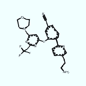 N#Cc1ccc(-c2ccc(CCN)cn2)c(Oc2cc(N3CCOCC3)nc(C(F)(F)F)n2)c1